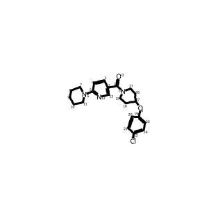 O=C(c1ccc(N2CCCCC2)nc1)N1CCC(Oc2ccc(Cl)cc2)CC1